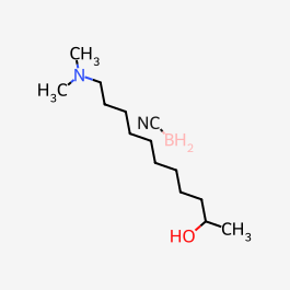 BC#N.CC(O)CCCCCCCCCN(C)C